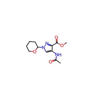 COC(=O)c1nn(C2CCCCO2)cc1NC(C)=O